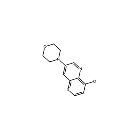 Clc1ccnc2cc(N3CCOCC3)cnc12